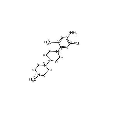 Cc1cc(N)c(Cl)cc1N1CCC(N2CCN(C)CC2)CC1